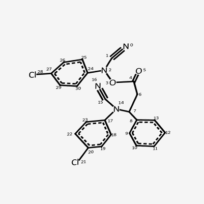 N#CN(OC(=O)CC(c1ccccc1)N(C#N)c1ccc(Cl)cc1)c1ccc(Cl)cc1